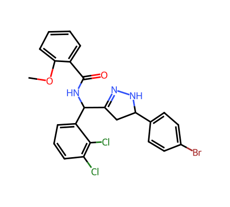 COc1ccccc1C(=O)NC(C1=NNC(c2ccc(Br)cc2)C1)c1cccc(Cl)c1Cl